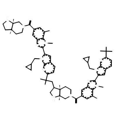 Cn1c(-c2cc3ccc(C(C)(C)O)nc3n2CC2CC2)nc2cc(C(=O)N3CC[C@H]4C(CC(C)(O)c5ccc6cc(-c7nc8cc(C(=O)N9CC[C@@H]%10CCN[C@@H]%10C9)cc(F)c8n7C)n(CC7CC7)c6n5)CN[C@H]4C3)cc(F)c21